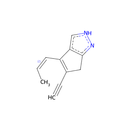 C#CC1=C(/C=C\C)c2c[nH]nc2C1